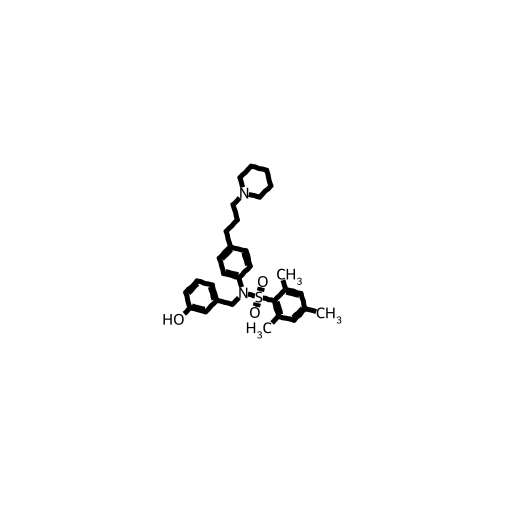 Cc1cc(C)c(S(=O)(=O)N(Cc2cccc(O)c2)c2ccc(CCCN3CCCCC3)cc2)c(C)c1